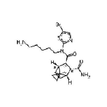 NCCCCCN(C(=O)[C@H]1[C@H](C(N)=O)[C@@H]2C=C[C@H]1C21CC1)c1ncc(Br)s1